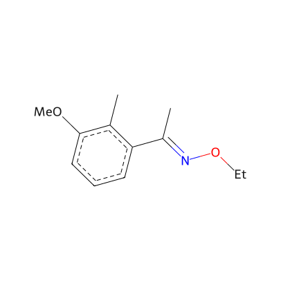 CCO/N=C(\C)c1cccc(OC)c1C